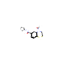 CCC(=O)N1CCSc2ccc(C(=O)NC3CCCC3)cc21